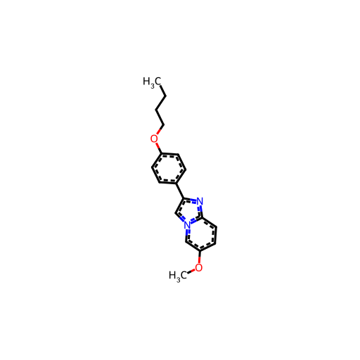 CCCCOc1ccc(-c2cn3cc(OC)ccc3n2)cc1